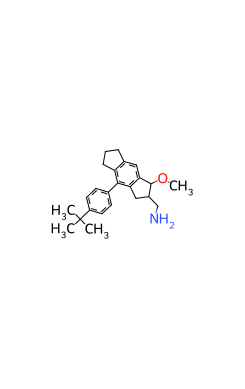 COC1c2cc3c(c(-c4ccc(C(C)(C)C)cc4)c2CC1CN)CCC3